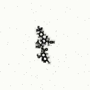 COc1cc(C(=O)NCC(O)(c2cc(C(C)(C)O)c(F)c(-c3ccc(C(F)(F)F)cc3)n2)C2CC2)cc2cc(C)nnc12